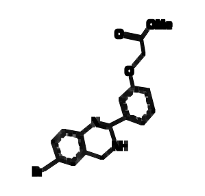 COC(=O)COc1cccc(C2=Nc3ccc(Br)cc3CN2)c1